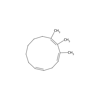 CC1=CCC=CCCCCCC(C)=C1C